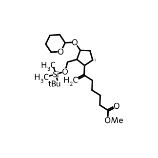 C=C(CCCCC(=O)OC)C1[C]CC(OC2CCCCO2)C1CO[Si](C)(C)C(C)(C)C